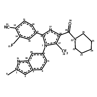 Cn1cc2ccc(-n3c(-c4ccc(C#N)c(F)c4)nc(C(=O)N4CCCCC4)c3C(F)(F)F)cc2n1